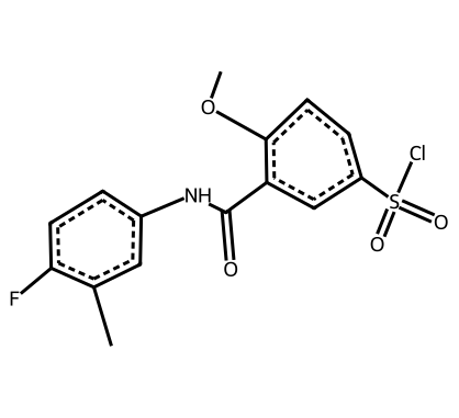 COc1ccc(S(=O)(=O)Cl)cc1C(=O)Nc1ccc(F)c(C)c1